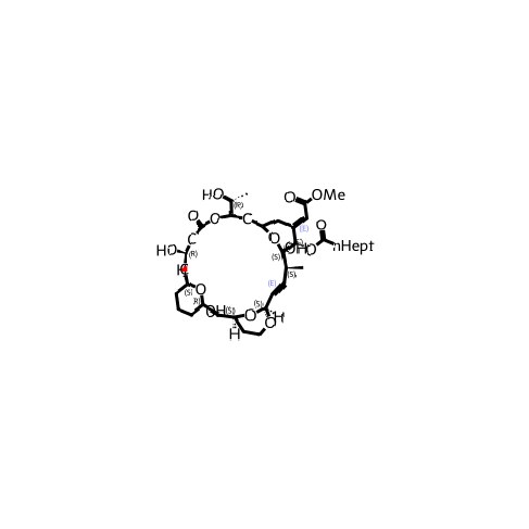 CCCCCCCC(=O)O[C@H]1/C(=C/C(=O)OC)CC2CC([C@@H](C)O)OC(=O)C[C@H](O)C[C@@H]3CCC[C@](O)(C[C@@H]4CCO[C@H](/C=C/[C@H](C)[C@]1(O)O2)O4)O3